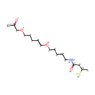 CCC(=O)COCCCCCOCCCCCNC(=O)CC(C)S